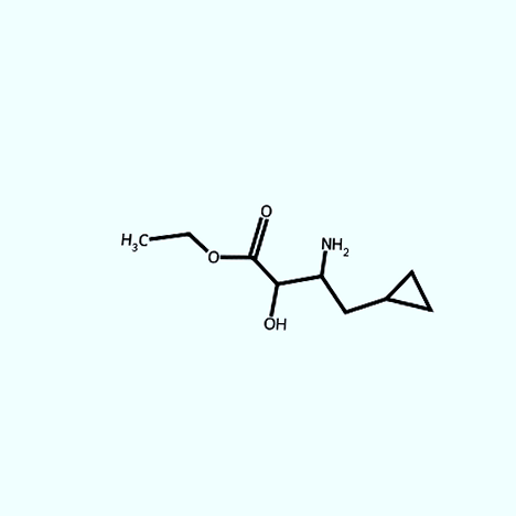 CCOC(=O)C(O)C(N)CC1CC1